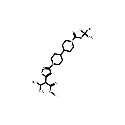 COC(=O)C(c1cc(N2CCC(C3CCN(C(=O)OC(C)(C)C)CC3)CC2)no1)C(C)C